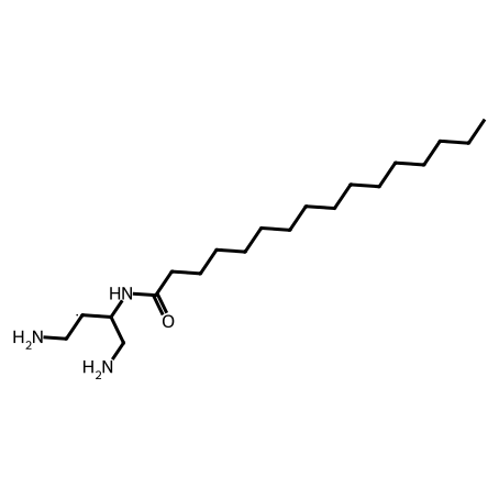 CCCCCCCCCCCCCCCC(=O)NC([CH]CN)CN